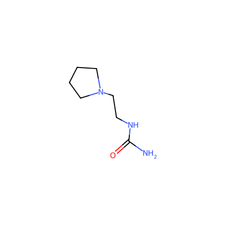 NC(=O)NCCN1CCCC1